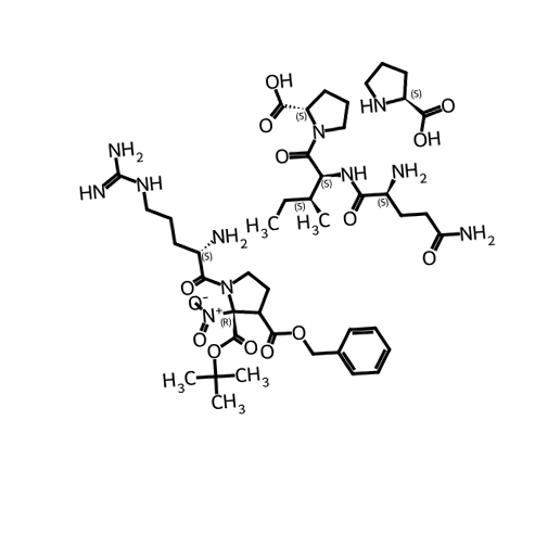 CC(C)(C)OC(=O)[C@]1([N+](=O)[O-])C(C(=O)OCc2ccccc2)CCN1C(=O)[C@@H](N)CCCNC(=N)N.CC[C@H](C)[C@H](NC(=O)[C@@H](N)CCC(N)=O)C(=O)N1CCC[C@H]1C(=O)O.O=C(O)[C@@H]1CCCN1